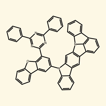 c1ccc(-c2nc(-c3ccccc3)nc(-c3cc(-n4c5ccccc5c5cc6c7cccc8c9ccccc9n(c6cc54)c87)cc4c3oc3ccccc34)n2)cc1